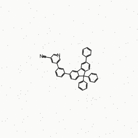 N#Cc1cncc(-c2cccc(-c3ccc4c(c3)-c3cc(-c5ccccc5)ccc3C4(c3ccccc3)c3ccccc3)c2)c1